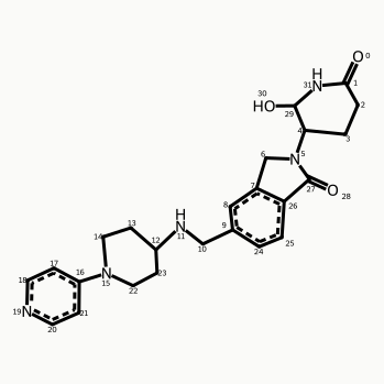 O=C1CCC(N2Cc3cc(CNC4CCN(c5ccncc5)CC4)ccc3C2=O)C(O)N1